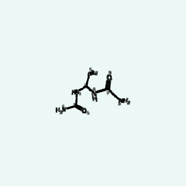 CCCC[C](NC(N)=O)NC(N)=O